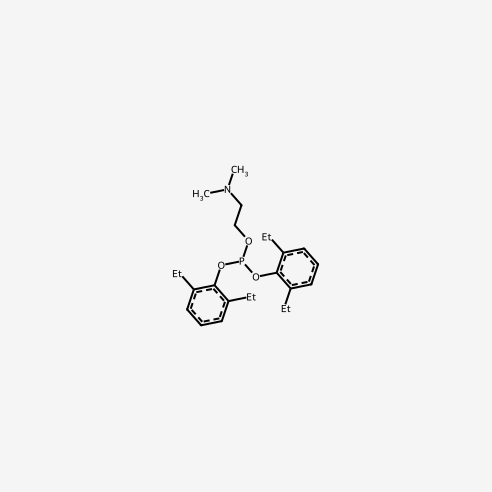 CCc1cccc(CC)c1OP(OCCN(C)C)Oc1c(CC)cccc1CC